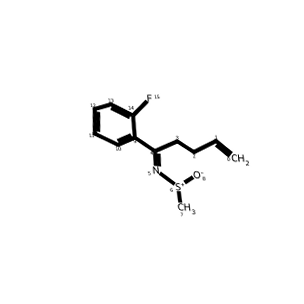 C=CCC/C(=N\[S+](C)[O-])c1ccccc1F